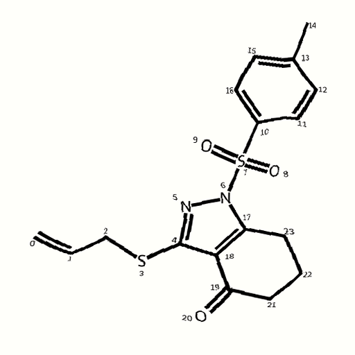 C=CCSc1nn(S(=O)(=O)c2ccc(C)cc2)c2c1C(=O)CCC2